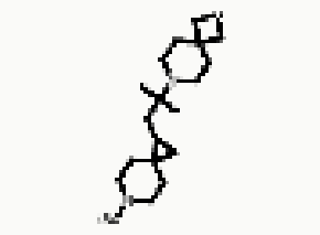 CC(C)(C)N1CCC2(CC1)CC2CC(C)(C)N1CCC2(CC1)COC2